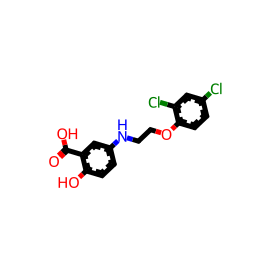 O=C(O)c1cc(NCCOc2ccc(Cl)cc2Cl)ccc1O